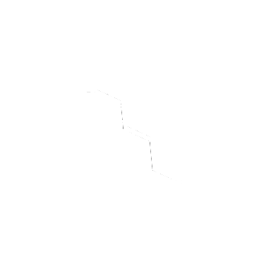 CCCC=CC[O]